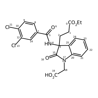 CCOC(=O)CCC1(NC(=O)c2ccc(Cl)c(Cl)c2)C(=O)N(CC(=O)O)c2ccccc21